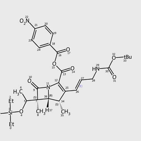 CC[Si](CC)(CC)OC(C)[C@@]1(C)C(=O)N2C(C(=O)OC(=O)c3ccc([N+](=O)[O-])cc3)=C(/C=C/CNC(=O)OC(C)(C)C)[C@H](C)[C@@H]21